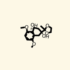 COc1ccc(OC)c2c1C[C@](O)(C1(C)OCCO1)C[C@H]2O